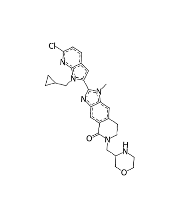 Cn1c(-c2cc3ccc(Cl)nc3n2CC2CC2)nc2cc3c(cc21)CCN(CC1COCCN1)C3=O